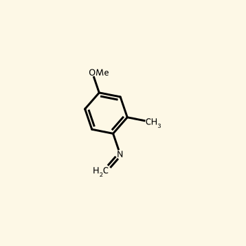 C=Nc1ccc(OC)cc1C